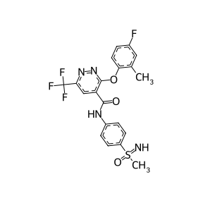 Cc1cc(F)ccc1Oc1nnc(C(F)(F)F)cc1C(=O)Nc1ccc(S(C)(=N)=O)cc1